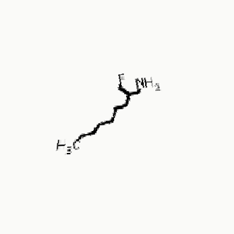 CCCCCCCC(=CF)CN